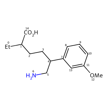 CCC(CCC(CN)c1cccc(OC)c1)C(=O)O